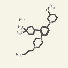 CCCCN1CCN(c2ccc(N3CCCC(OC)C3)cc2C2CCC(C)(C)CC2)CC1.Cl